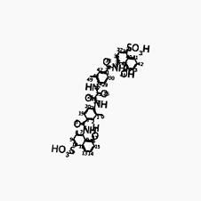 Cc1cc(C(=O)Nc2ccc(S(=O)(=O)O)c3cccc(O)c23)ccc1NC(=O)C(=O)Nc1ccc(C(=O)Nc2ccc(S(=O)(=O)O)c3cccc(O)c23)cc1C